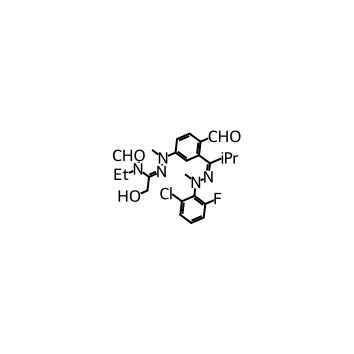 CCN(C=O)/C(CO)=N\N(C)c1ccc(C=O)c(/C(=N\N(C)c2c(F)cccc2Cl)C(C)C)c1